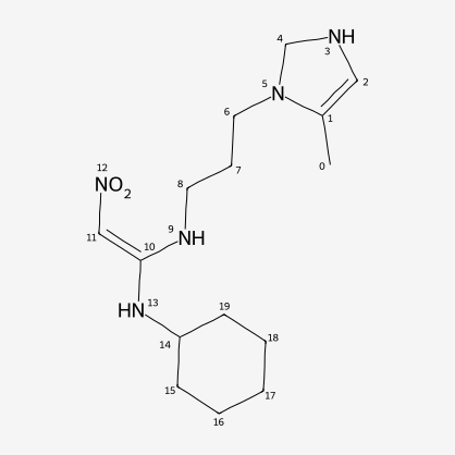 CC1=CNCN1CCCN/C(=C\[N+](=O)[O-])NC1CCCCC1